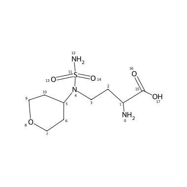 NC(CCN(C1CCOCC1)S(N)(=O)=O)C(=O)O